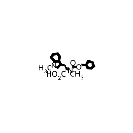 CN(C(=O)OCc1ccccc1)[C@@H](Cc1cn(C)c2ccccc12)C(=O)O